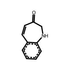 O=C1C=Cc2ccccc2NC1